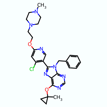 CN1CCN(CCOc2cc(Cl)c(-c3nc4c(OC5(C)CC5)ncnc4n3Cc3ccccc3)cn2)CC1